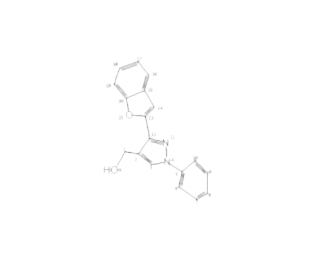 OCc1cn(-c2ccccc2)nc1-c1cc2ccccc2o1